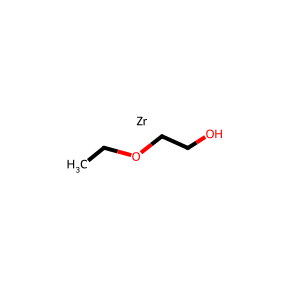 CCOCCO.[Zr]